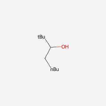 CCCCCC(O)C(C)(C)C